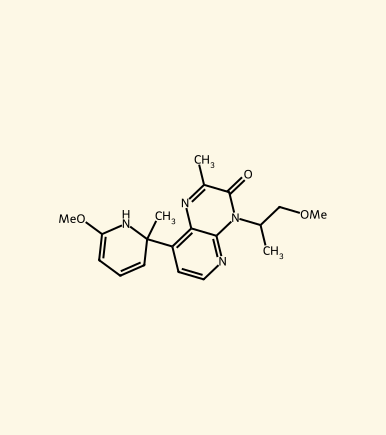 COCC(C)n1c(=O)c(C)nc2c(C3(C)C=CC=C(OC)N3)ccnc21